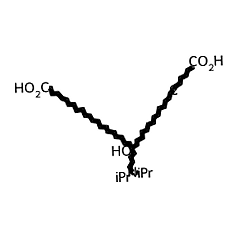 CC(C)N(CCCCC(O)(CCCCCCCCCCCCCCCCCCCCCC(=O)O)CCCCCCCCCCCCCCCCCCCCCC(=O)O)C(C)C